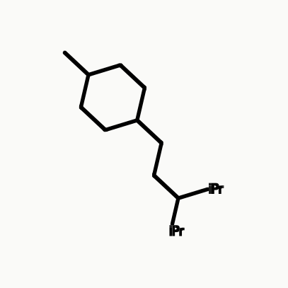 CC1CCC(CCC(C(C)C)C(C)C)CC1